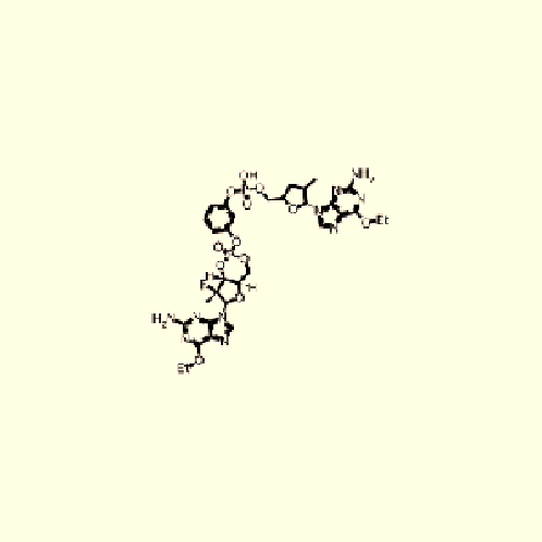 CCOc1nc(N)nc2c1ncn2[C@@H]1OC(COP(=O)(O)Oc2cccc(OP3(=O)OC[C@H]4O[C@@H](n5cnc6c(OCC)nc(N)nc65)[C@](C)(F)[C@@H]4O3)c2)CC1C